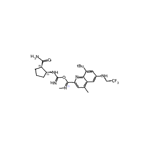 C/N=C(\OC(=N)N[C@H]1CCC[C@H]1C(N)=O)c1cc(C)c2cc(NCC(F)(F)F)cc(C(C)(C)C)c2n1